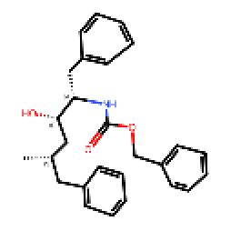 C[C@@H](Cc1ccccc1)C[C@H](O)[C@H](Cc1ccccc1)NC(=O)OCc1ccccc1